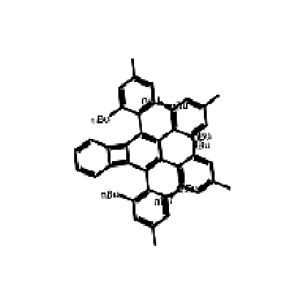 CCCCc1cc(C)cc(CCCC)c1-c1c(-c2c(CCCC)cc(C)cc2CCCC)c(-c2c(CCCC)cc(C)cc2CCCC)c2c(c1-c1c(CCCC)cc(C)cc1CCCC)=c1ccccc1=2